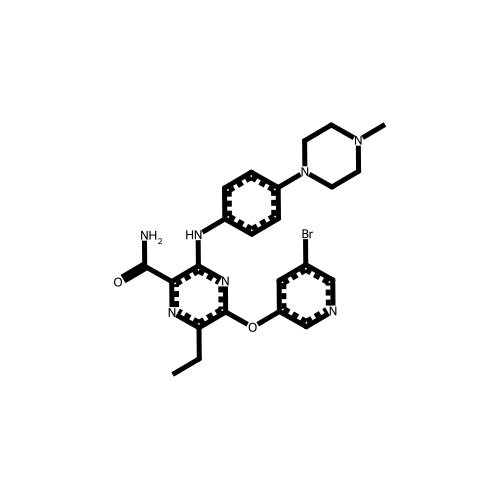 CCc1nc(C(N)=O)c(Nc2ccc(N3CCN(C)CC3)cc2)nc1Oc1cncc(Br)c1